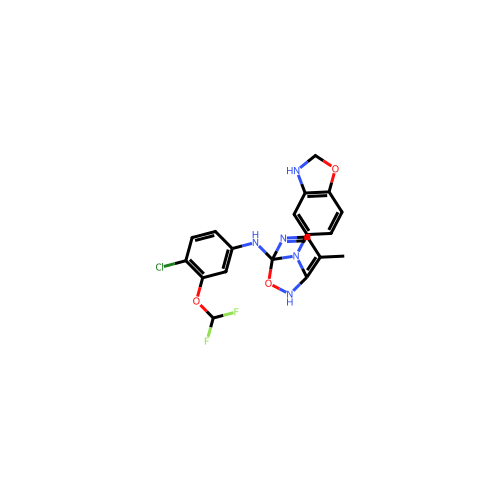 CC1=C2NOC(Nc3ccc(Cl)c(OC(F)F)c3)(N=C1)N2c1ccc2c(c1)NCO2